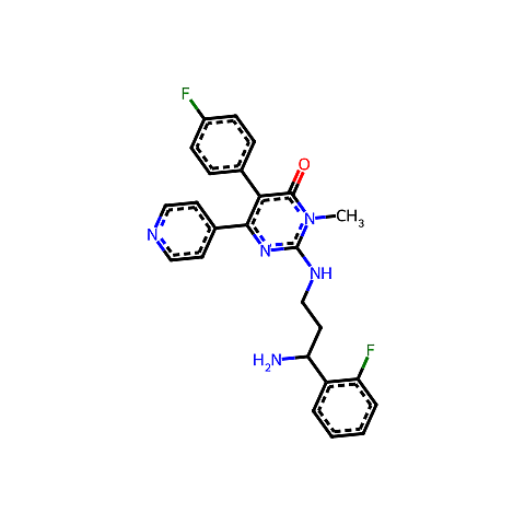 Cn1c(NCCC(N)c2ccccc2F)nc(-c2ccncc2)c(-c2ccc(F)cc2)c1=O